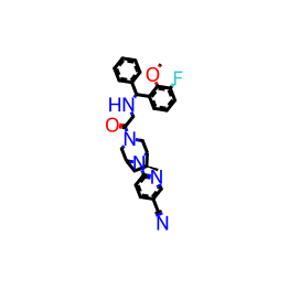 COc1c(F)cccc1C(NCC(=O)N1CC2C[C@H](C)C(C1)N2c1ccc(C#N)cn1)c1ccccc1